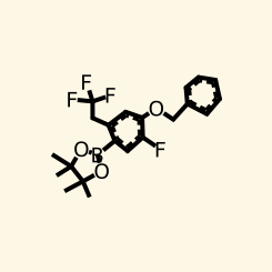 CC1(C)OB(c2cc(F)c(OCc3ccccc3)cc2CC(F)(F)F)OC1(C)C